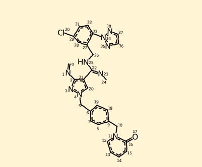 C=Nc1nn(Cc2ccc(Cn3ccccc3=O)cc2)cc1/C(=N\C)NCc1cc(Cl)ccc1-n1nccn1